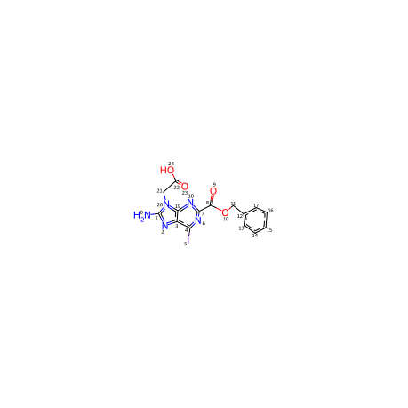 Nc1nc2c(I)nc(C(=O)OCc3ccccc3)nc2n1CC(=O)O